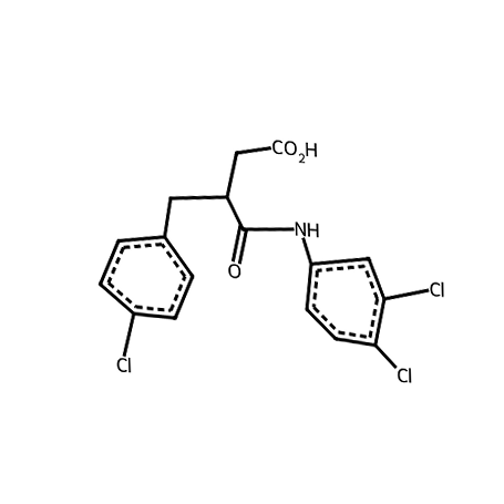 O=C(O)CC(Cc1ccc(Cl)cc1)C(=O)Nc1ccc(Cl)c(Cl)c1